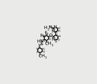 Cc1ccc(CSNc2c(C)cc(Oc3ncccc3-c3ccnc(N)n3)c(F)c2F)cc1